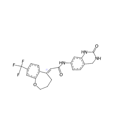 O=C(/C=C1\CCCOc2cc(C(F)(F)F)ccc21)Nc1ccc2c(c1)NC(=O)NC2